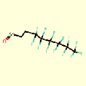 [O]=[Sn][CH2]CC(F)(F)C(F)(F)C(F)(F)C(F)(F)C(F)(F)C(F)(F)F